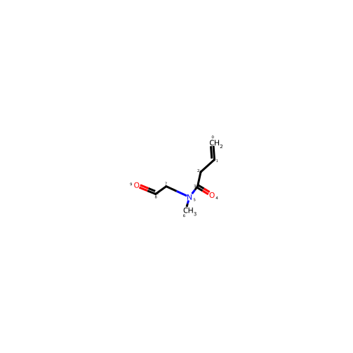 C=CCC(=O)N(C)C[C]=O